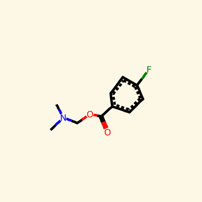 CN(C)COC(=O)c1ccc(F)cc1